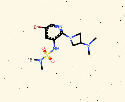 CCN(C)S(=O)(=O)Nc1cc(Br)cnc1N1CC(N(C)C)C1